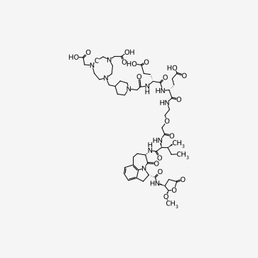 CC[C@H](C)[C@H](NC(=O)COCCNC(=O)[C@@H](CCC(=O)O)NC(=O)[C@@H](CCC(=O)O)NC(=O)CN1CCC(CN2CCN(CC(=O)O)CCN(CC(=O)O)CC2)CC1)C(=O)N[C@H]1CCc2cccc3c2N(C1=O)[C@H](C(=O)N[C@H]1CC(=O)O[C@H]1OC)C3